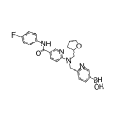 O=C(Nc1ccc(F)cc1)c1ccc(N(Cc2ccc(BO)cn2)CC2CC=CO2)nc1